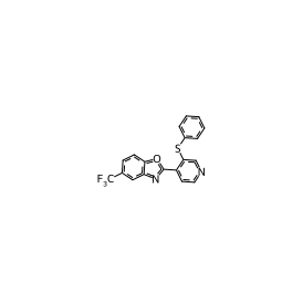 FC(F)(F)c1ccc2oc(-c3ccncc3Sc3ccccc3)nc2c1